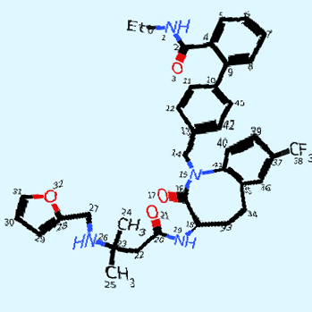 CCNC(=O)c1ccccc1-c1ccc(CN2C(=O)[C@H](NC(=O)CC(C)(C)NCc3ccco3)CCc3cc(C(F)(F)F)ccc32)cc1